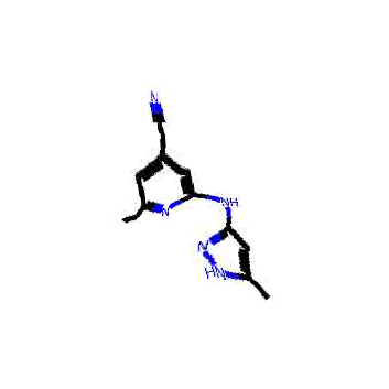 Cc1cc(C#N)cc(Nc2cc(C)[nH]n2)n1